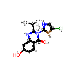 CC(C)c1nc2cc(O)ccc2c(=O)n1-c1ncc(Cl)s1